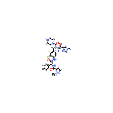 CCn1nccc1C(=O)N[C@H](C(=O)Nc1ccc(C[C@@H](NC(=O)c2cn(C)cn2)C(=O)N2CCN(C)CC2)cc1F)C1CCCCC1